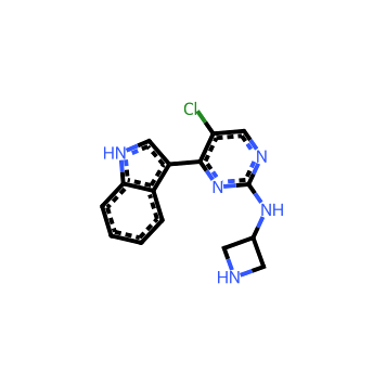 Clc1cnc(NC2CNC2)nc1-c1c[nH]c2ccccc12